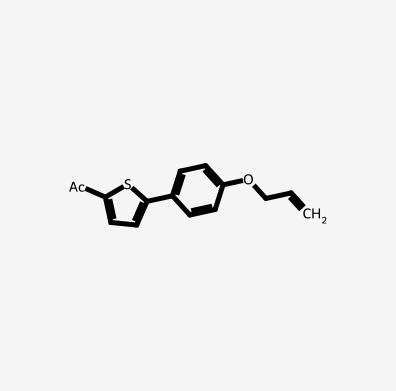 C=CCOc1ccc(-c2ccc(C(C)=O)s2)cc1